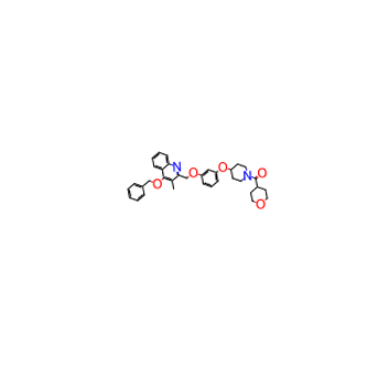 Cc1c(COc2cccc(OC3CCN(C(=O)C4CCOCC4)CC3)c2)nc2ccccc2c1OCc1ccccc1